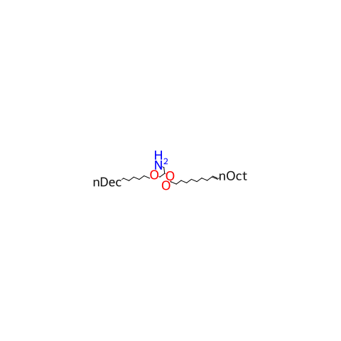 CCCCCCCCC=CCCCCCCCC(=O)OC(CN)COCCCCCCCCCCCCCCCC